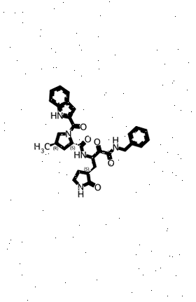 C[C@@H]1C[C@@H](C(=O)NC(C[C@@H]2CCNC2=O)C(=O)C(=O)NCc2ccccc2)N(C(=O)c2cc3ccccc3[nH]2)C1